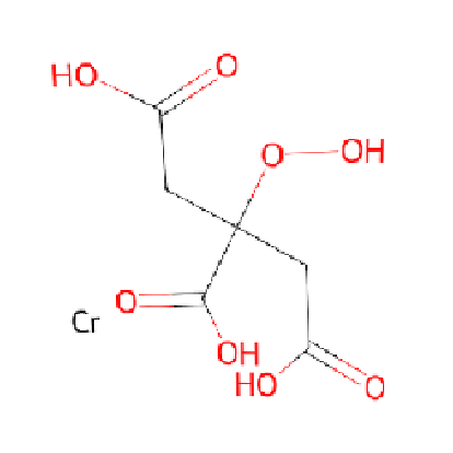 O=C(O)CC(CC(=O)O)(OO)C(=O)O.[Cr]